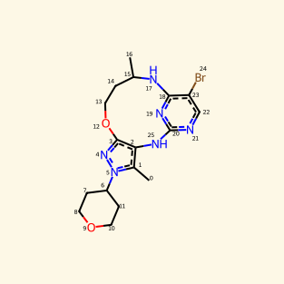 Cc1c2c(nn1C1CCOCC1)OCCC(C)Nc1nc(ncc1Br)N2